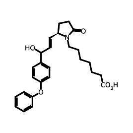 O=C(O)CCCCCCN1C(=O)CC[C@@H]1C=CC(O)c1ccc(Oc2ccccc2)cc1